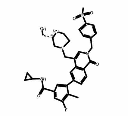 Cc1c(F)cc(C(=O)NC2CC2)cc1-c1ccc2c(=O)n(Cc3ccc(S(C)(=O)=O)cc3)cc(CN3CCN[C@@H](CO)C3)c2c1